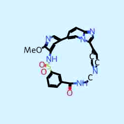 COc1ncc2cc1NS(=O)(=O)c1cccc(c1)C(=O)NCCN1CC=C(CC1)c1cnc3ccc-2cn13